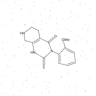 COc1ccccc1-n1c(=S)[nH]c2c(c1=O)CCNC2